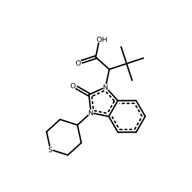 CC(C)(C)C(C(=O)O)n1c(=O)n(C2CCSCC2)c2ccccc21